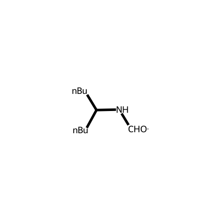 CCCCC(CCCC)N[C]=O